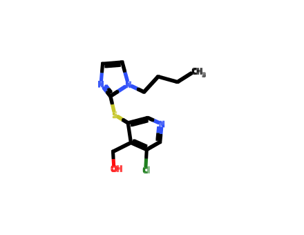 CCCCn1ccnc1Sc1cncc(Cl)c1CO